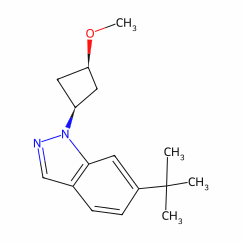 CO[C@H]1C[C@@H](n2ncc3ccc(C(C)(C)C)cc32)C1